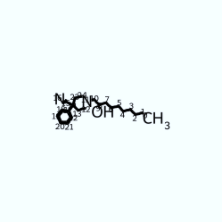 CCCCCCCCC(O)CN1CCC(C#N)(c2ccccc2)CC1